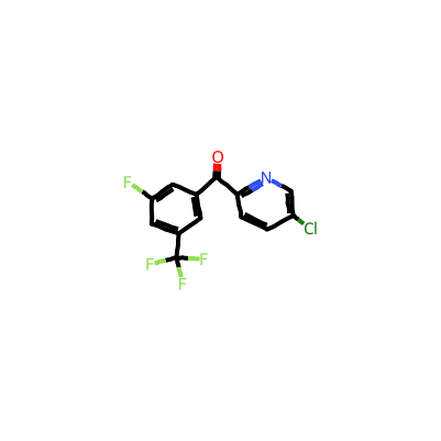 O=C(c1cc(F)cc(C(F)(F)F)c1)c1ccc(Cl)cn1